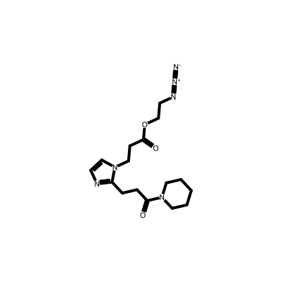 [N-]=[N+]=NCCOC(=O)CCn1ccnc1CCC(=O)N1CCCCC1